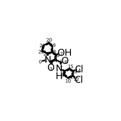 Cn1c(=O)c(C(=O)Nc2ccc(Cl)c(Cl)c2)c(O)c2ccccc21